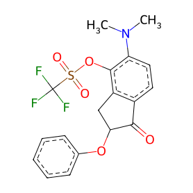 CN(C)c1ccc2c(c1OS(=O)(=O)C(F)(F)F)CC(Oc1ccccc1)C2=O